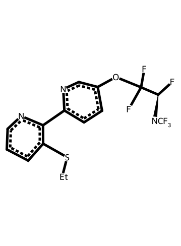 CCSc1cccnc1-c1ccc(OC(F)(F)[C@@H](F)NC(F)(F)F)cn1